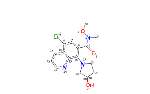 CON(C)C(=O)c1cc(Cl)c2cccnc2c1N1CC[C@@H](O)C1